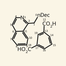 CCCCCCCCCCCc1nccc2ccccc12.O=C(O)c1cccc(C(=O)O)c1